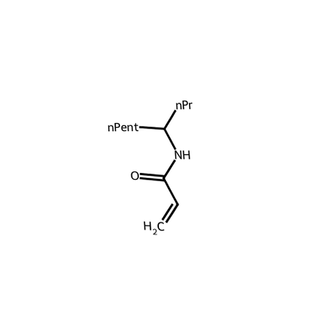 C=CC(=O)NC(CCC)CCCCC